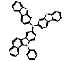 c1ccc(-n2c3ccc(N(c4ccc5c(c4)oc4ccccc45)c4ccc5c(c4)sc4ccccc45)cc3c3ccc4ccccc4c32)cc1